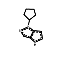 c1cc2c(cnn2C2CCCC2)[nH]1